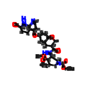 CCOC1(OCC)CCN(C(=O)OC(C)(C)C)CC1NC(=O)C1COc2ccc(Oc3ccnc4c3CCC(=O)N4)cc2C1